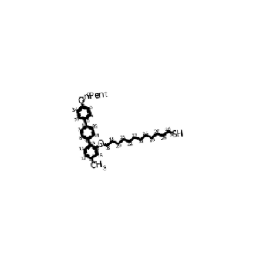 CCCCCOc1ccc(-c2ccc(-c3ccc(C)cc3OCCCCCCCCCCCCS)cc2)cc1